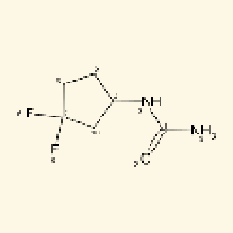 NC(=O)NC1CCC(F)(F)C1